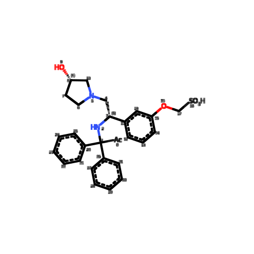 CC(=O)C(N[C@H](CN1CC[C@H](O)C1)c1cccc(OCS(=O)(=O)O)c1)(c1ccccc1)c1ccccc1